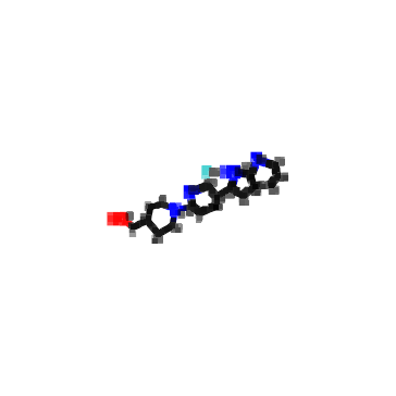 OCC1CCN(c2ccc(-c3cc4cccnc4[nH]3)c(F)n2)CC1